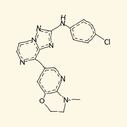 CN1CCOc2cc(-c3nccn4nc(Nc5ccc(Cl)cc5)nc34)cnc21